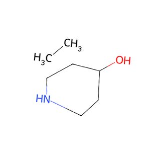 CC.OC1CCNCC1